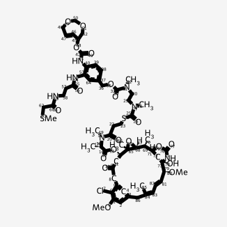 COc1cc2cc(c1Cl)CC(=O)C[C@H](OC(=O)[C@H](C)N(C)C(=O)CCSC(=O)N(C)CCN(C)C(=O)OCc1ccc(NC(=O)OC3/C=C/COCOC3)c(NC(=O)CCNC(=O)CSC)c1)[C@]1(C)O[C@H]1[C@H](C)[C@@H]1C[C@@](O)(NC(=O)O1)[C@H](OC)/C=C/C=C(\C)C2